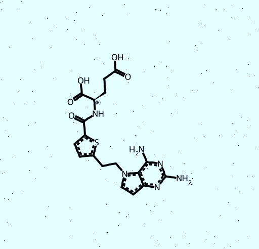 Nc1nc(N)c2c(ccn2CCc2ccc(C(=O)N[C@H](CCC(=O)O)C(=O)O)s2)n1